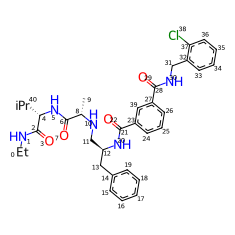 CCNC(=O)[C@@H](NC(=O)[C@H](C)NC[C@H](Cc1ccccc1)NC(=O)c1cccc(C(=O)NCc2ccccc2Cl)c1)C(C)C